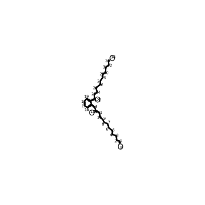 O=CCCCCCCCCCCC(=O)Cc1ccccc1C(=O)CCCCCCCCCCC=O